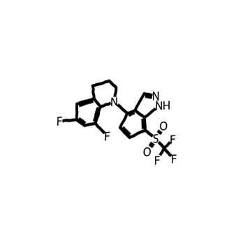 O=S(=O)(c1ccc(N2CCCc3cc(F)cc(F)c32)c2cn[nH]c12)C(F)(F)F